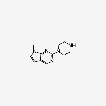 c1cc2cnc(N3CCNCC3)nc2[nH]1